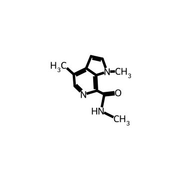 CNC(=O)c1ncc(C)c2ccn(C)c12